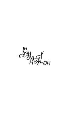 CC1(C(=O)NCC#N)COC(c2nc(-c3ccc(F)cc3)c(-c3ccnc(NCCCO)n3)[nH]2)OC1